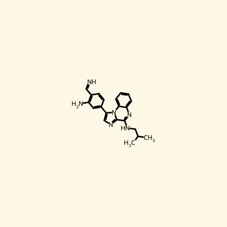 CC(C)CNc1nc2ccccc2n2c(-c3ccc(C=N)c(N)c3)cnc12